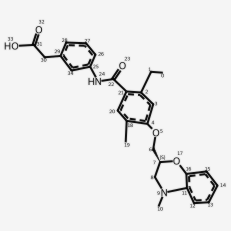 CCc1cc(OC[C@@H]2CN(C)c3ccccc3O2)c(C)cc1C(=O)Nc1cccc(CC(=O)O)c1